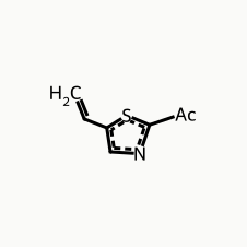 C=Cc1cnc(C(C)=O)s1